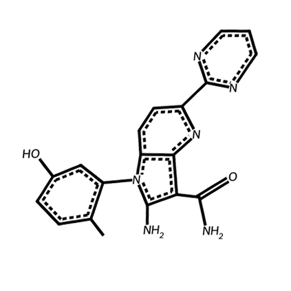 Cc1ccc(O)cc1-n1c(N)c(C(N)=O)c2nc(-c3ncccn3)ccc21